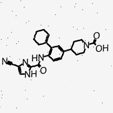 N#Cc1c[nH]c(C(=O)Nc2ccc(C3CCN(C(=O)O)CC3)cc2C2=CCCCC2)n1